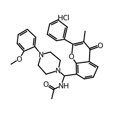 COc1ccccc1N1CCN(C(NC(C)=O)c2cccc3c(=O)c(C)c(-c4ccccc4)oc23)CC1.Cl